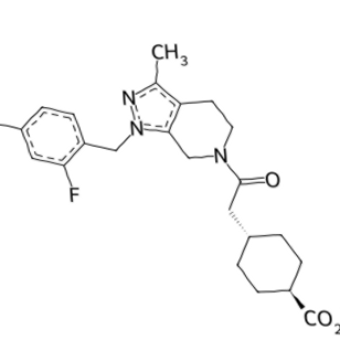 CCOC(=O)[C@H]1CC[C@H](CC(=O)N2CCc3c(C)nn(Cc4ccc(Cl)cc4F)c3C2)CC1